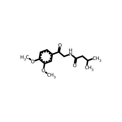 COc1ccc(C(=O)CNC(=O)CC(C)C)cc1OC